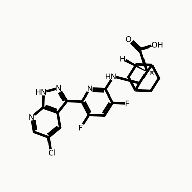 O=C(O)[C@@H]1C2CCC(CC2)C1Nc1nc(-c2n[nH]c3ncc(Cl)cc23)c(F)cc1F